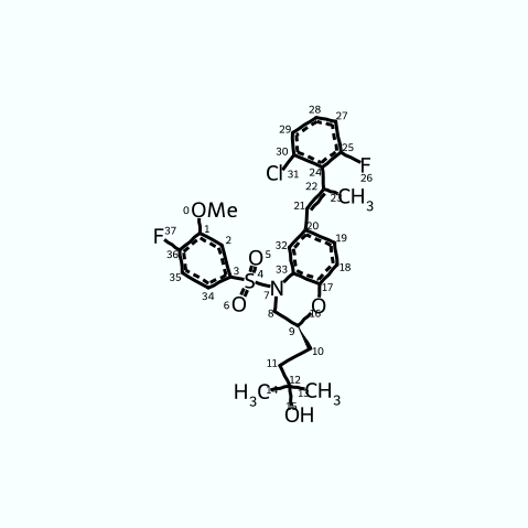 COc1cc(S(=O)(=O)N2C[C@H](CCC(C)(C)O)Oc3ccc(C=C(C)c4c(F)cccc4Cl)cc32)ccc1F